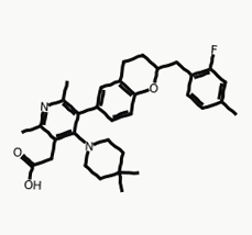 Cc1ccc(CC2CCc3cc(-c4c(C)nc(C)c(CC(=O)O)c4N4CCC(C)(C)CC4)ccc3O2)c(F)c1